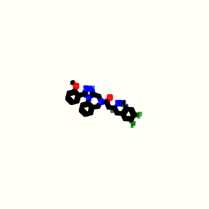 COc1ccccc1-c1nnc2n1-c1ccccc1CN(C(=O)C[C@H](N)Cc1cc(F)c(F)cc1F)C2